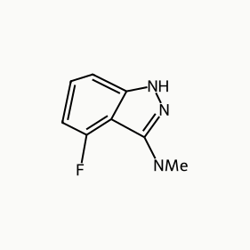 CNc1n[nH]c2cccc(F)c12